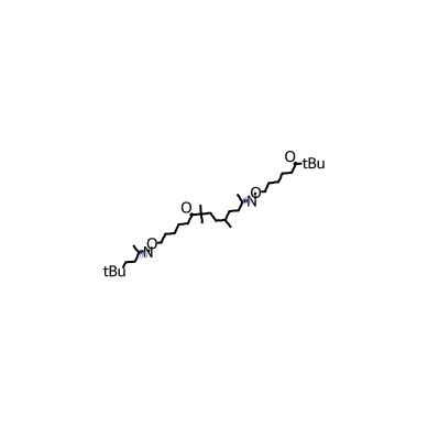 C/C(CCC(C)CCC(C)(C)C(=O)CCCCCO/N=C(\C)CCC(C)(C)C)=N\OCCCCCC(=O)C(C)(C)C